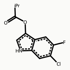 CC(C)C(=O)Oc1c[nH]c2cc(Cl)c(F)cc12